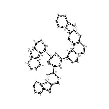 c1ccc2c(c1)oc1ccc(-c3nc(-c4ccc5ccc6cc7oc8ccccc8c7cc6c5c4)nc(-c4cccc5oc6ccccc6c45)n3)cc12